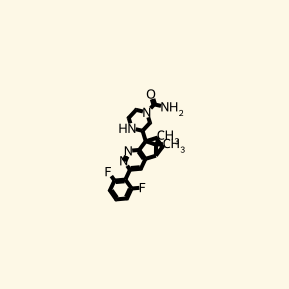 CC1(C)C2CCC1(C1CN(C(N)=O)CCN1)c1nnc(-c3c(F)cccc3F)cc12